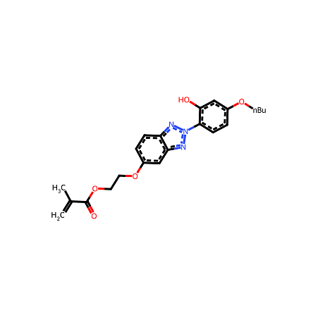 C=C(C)C(=O)OCCOc1ccc2nn(-c3ccc(OCCCC)cc3O)nc2c1